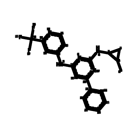 CC1CC1Nc1nc(Nc2ccnc(C(F)(F)F)c2)nc(-c2ccccn2)n1